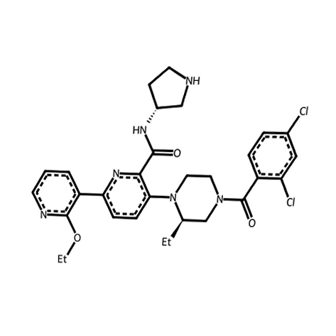 CCOc1ncccc1-c1ccc(N2CCN(C(=O)c3ccc(Cl)cc3Cl)C[C@H]2CC)c(C(=O)N[C@@H]2CCNC2)n1